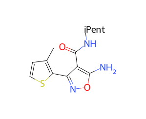 CCCC(C)NC(=O)c1c(-c2sccc2C)noc1N